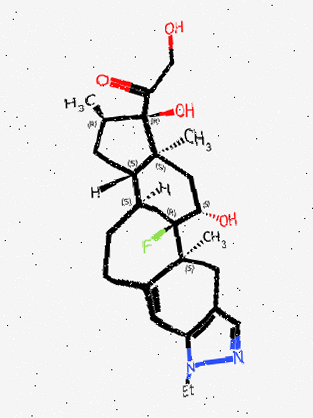 CCn1ncc2c1C=C1CC[C@H]3[C@@H]4C[C@@H](C)[C@](O)(C(=O)CO)[C@@]4(C)C[C@H](O)[C@]3(F)[C@@]1(C)C2